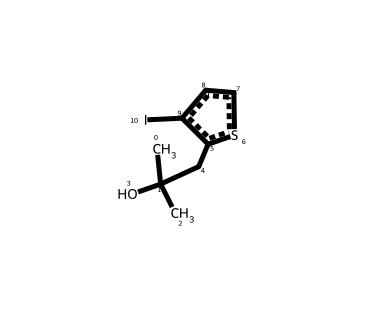 CC(C)(O)Cc1sccc1I